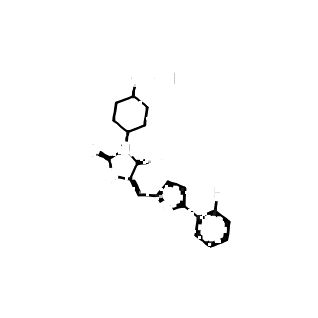 O=C(O)C1CCC(N2C(=O)/C(=C\c3ccc(-c4ccccc4F)s3)SC2=S)CC1